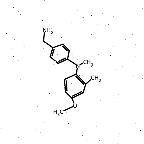 COc1ccc(N(C)c2ccc(CN)cc2)c(C)c1